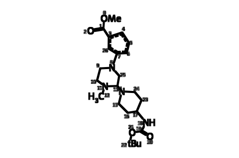 COC(=O)c1cccc(N2CCN(C)C(N3CCC(NC(=O)OC(C)(C)C)CC3)C2)c1